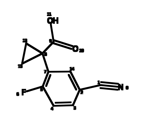 N#Cc1ccc(F)c(C2(C(=O)O)CC2)c1